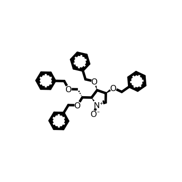 [O-][N+]1=C[C@H](OCc2ccccc2)[C@@H](OCc2ccccc2)[C@H]1[C@@H](COCc1ccccc1)OCc1ccccc1